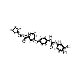 O=C(Nc1ccc(Oc2ccnc(C(=O)NOC3CCCC3)c2)cc1)Nc1ccc(Cl)c(Cl)c1